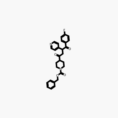 O=C(CC(C(=O)c1ccc(F)cc1)c1ccncc1)C1CCN(C(=O)OCc2ccccc2)CC1